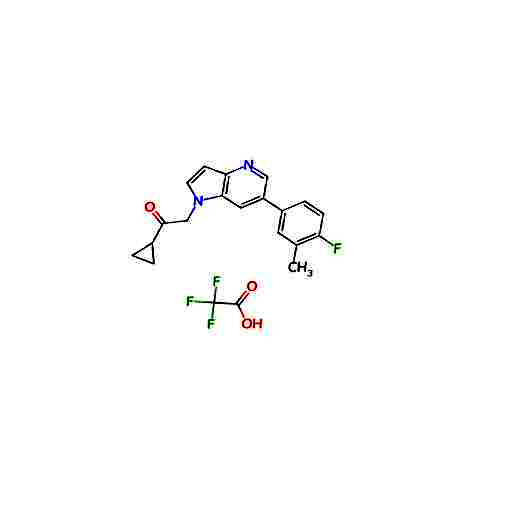 Cc1cc(-c2cnc3ccn(CC(=O)C4CC4)c3c2)ccc1F.O=C(O)C(F)(F)F